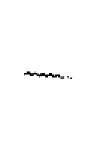 [CH2]CCCCCC/C=C/C/C=C/C/C=C/C